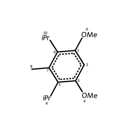 COc1cc(OC)c(C(C)C)c(C)c1C(C)C